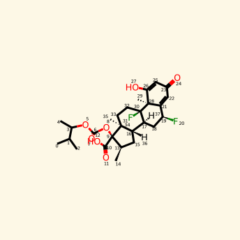 CC(C)C(C)OC(=O)O[C@]1(C(=O)O)[C@H](C)C[C@H]2[C@@H]3C[C@H](F)C4=CC(=O)C=C(O)[C@]4(C)[C@@]3(F)CC[C@@]21C